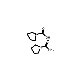 NC(=O)N1CCCC1.O=C(O)N1CCCC1